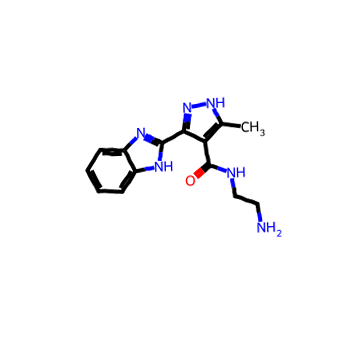 Cc1[nH]nc(-c2nc3ccccc3[nH]2)c1C(=O)NCCN